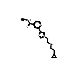 N#CNC(=O)c1ccnc(-c2cn(CCNCCC3CC3)cn2)c1